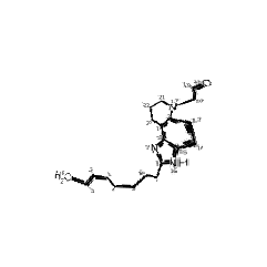 C=C/C=C\C=C/CCc1nc2c3c(ccc2[nH]1)N(CC=O)CCC3